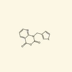 O=c1oc(=O)n(Cc2ccsc2)c2ncccc12